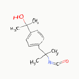 CC(C)(O)c1ccc(C(C)(C)N=C=O)cc1